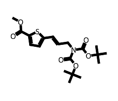 COC(=O)c1ccc(/C=C/CN(C(=O)OC(C)(C)C)C(=O)OC(C)(C)C)s1